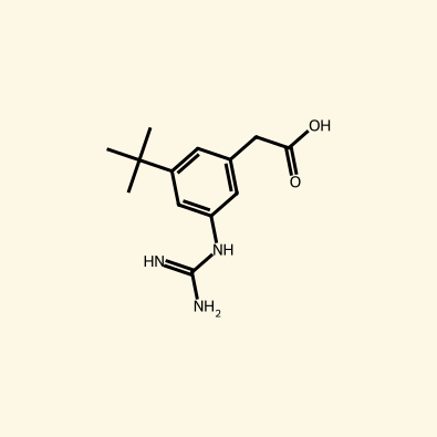 CC(C)(C)c1cc(CC(=O)O)cc(NC(=N)N)c1